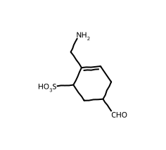 NCC1=CCC(C=O)CC1S(=O)(=O)O